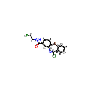 O=C(NCCF)c1ccc2c(c1)N=C(Cl)c1ccccc1S2